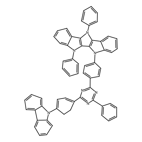 C1=C(c2nc(-c3ccccc3)nc(-c3ccc(-n4c5ccccc5c5c4c4c(c6ccccc6n4-c4ccccc4)n5-c4ccccc4)cc3)n2)CCC(n2c3ccccc3c3ccccc32)=C1